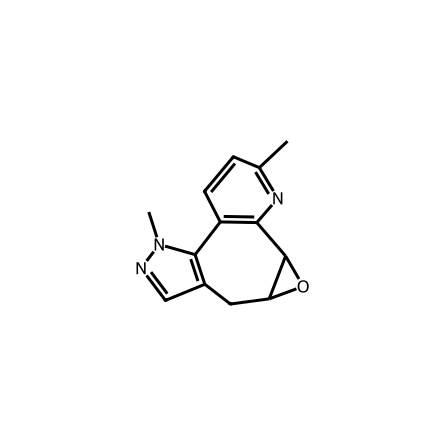 Cc1ccc2c(n1)C1OC1Cc1cnn(C)c1-2